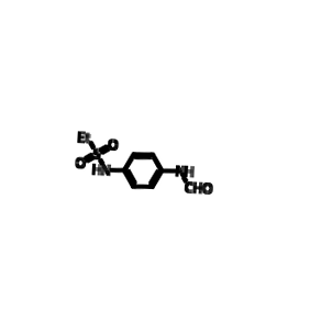 CCS(=O)(=O)Nc1ccc(NC=O)cc1